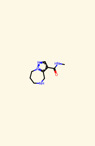 CNC(=O)c1cnn2c1CNCCC2